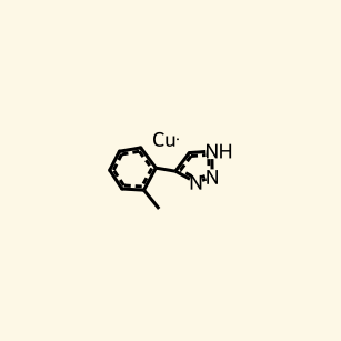 Cc1ccccc1-c1c[nH]nn1.[Cu]